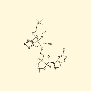 CCOP(=O)(OCC)[C@](CO)(Cc1nnnn1COCC[Si](C)(C)C)OC[C@H]1O[C@@H](n2ncc3[c]nc(Cl)nc32)[C@@H]2OC(C)(C)O[C@@H]21